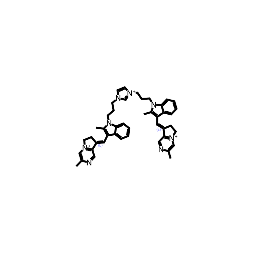 Cc1c[n+]2c(cn1)/C(=C/c1c(C)n(CCCn3cc[n+](CCCn4c(C)c(/C=C5\CC[n+]6cc(C)ncc65)c5ccccc54)c3)c3ccccc13)CC2